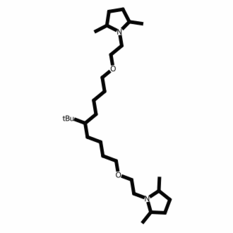 CC1CCC(C)N1CCOCCCCC(CCCCOCCN1C(C)CCC1C)C(C)(C)C